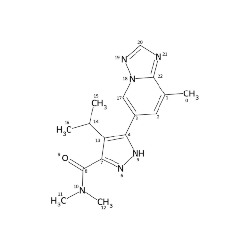 Cc1cc(-c2[nH]nc(C(=O)N(C)C)c2C(C)C)cn2ncnc12